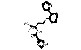 C[C@H](O)[C@@H](CCOc1ccccc1-c1cccs1)NC(=O)c1c[nH]cn1